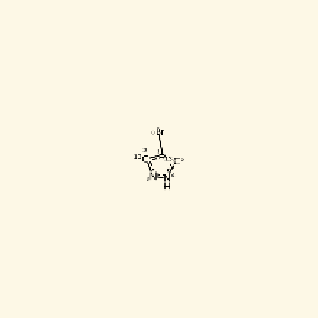 Brc1[13cH]n[nH][13cH]1